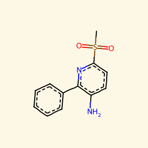 CS(=O)(=O)c1ccc(N)c(-c2ccccc2)n1